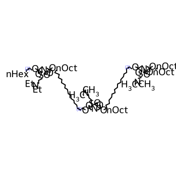 CCCCCC/C=C\COC(=O)CN(CC(=O)OC(CCCCCCCC)CCCCCCCCCCCCCC/C=C\COC(=O)CN(CC(=O)OC(CCCCCCCC)CCCCCCCCCCCCCC/C=C\COC(=O)CN(CC(=O)OC(CCCCCCCC)CCCCCCCC)C(=O)SCCN(C)C)C(=O)SCCCN(C)C)C(=O)SCCCN(CC)CC